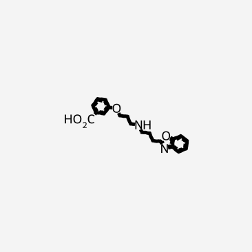 O=C(O)c1cccc(OCCCNCCCc2nc3ccccc3o2)c1